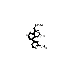 CNCC1OCCc2c(-c3ccnc(C)c3)cccc21.Cl